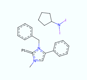 Cn1cc(-c2ccccc2)n(Cc2ccccc2)[c]1=[Pt].IN(I)C1CCCC1